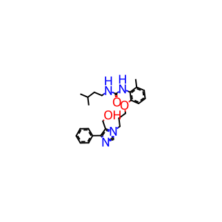 Cc1cccc(OCCCn2cnc(-c3ccccc3)c2CO)c1NC(=O)NCCC(C)C